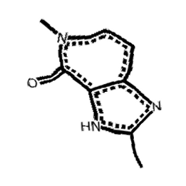 Cc1nc2ccn(C)c(=O)c2[nH]1